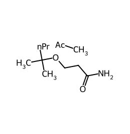 CC(C)=O.CCCC(C)(C)OCCC(N)=O